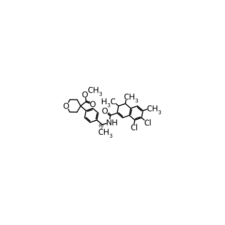 COC(=O)C1(c2ccc([C@@H](C)NC(=O)C3=Cc4c(cc(C)c(Cl)c4Cl)C(C)C3C)cc2)CCOCC1